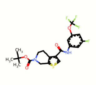 CC(C)(C)OC(=O)N1CCc2c(C(=O)Nc3cc(F)cc(OC(F)(F)F)c3)csc2C1